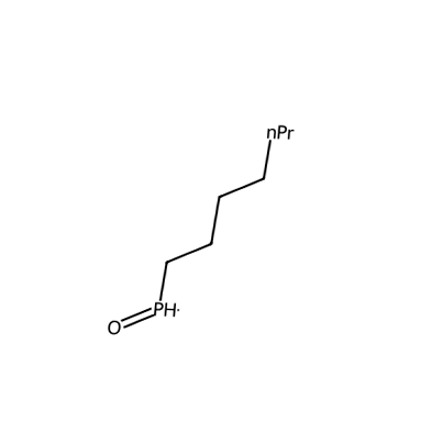 CCCCCCC[PH]=O